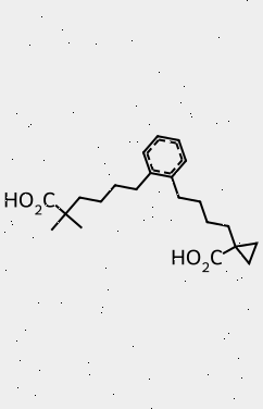 CC(C)(CCCCc1ccccc1CCCCC1(C(=O)O)CC1)C(=O)O